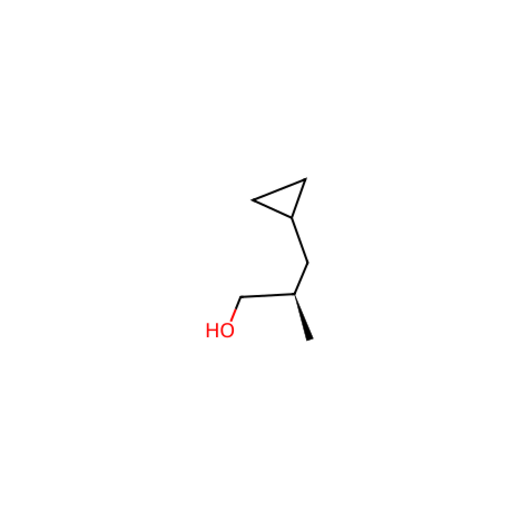 C[C@@H](CO)CC1CC1